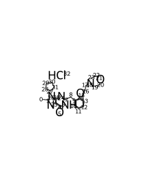 Cc1nc2c(=O)[nH]c(Cc3ccccc3OCCN3CCOCC3)nc2n1C1CCCC1.Cl